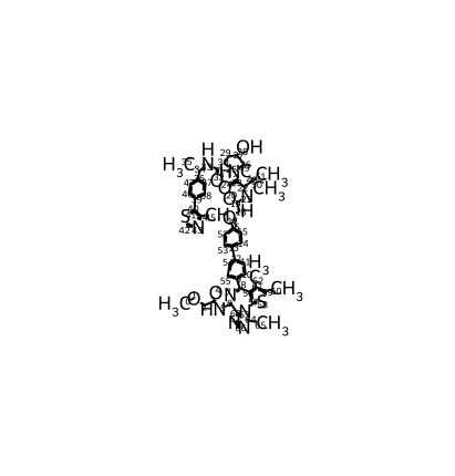 COCC(=O)NC1N=C(c2ccc(-c3ccc(OCC(=O)NC(C(=O)N4C[C@H](O)C[C@H]4C(=O)N[C@@H](C)c4ccc(-c5scnc5C)cc4)C(C)(C)C)cc3)cc2)c2c(sc(C)c2C)-n2c(C)nnc21